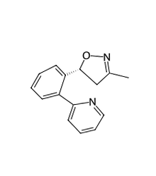 CC1=NO[C@@H](c2ccccc2-c2ccccn2)C1